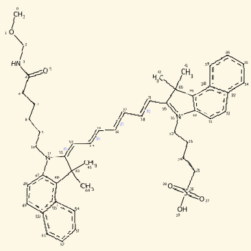 COCNC(=O)CCCCCN1/C(=C/C=C/C=C/C=C/C2=[N+](CCCCS(=O)(=O)O)c3ccc4ccccc4c3C2(C)C)C(C)(C)c2c1ccc1ccccc21